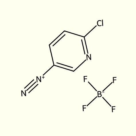 F[B-](F)(F)F.N#[N+]c1ccc(Cl)nc1